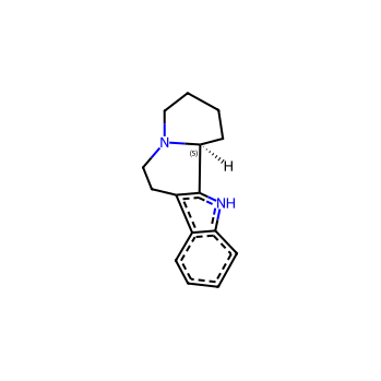 c1ccc2c3c([nH]c2c1)[C@@H]1CCCCN1CC3